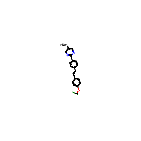 CCCCCCCCCc1cnc(-c2ccc(C=Cc3ccc(OC(F)F)cc3)cc2)nc1